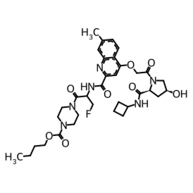 CCCCOC(=O)N1CCN(C(=O)C(CF)NC(=O)c2cc(OCC(=O)N3C[C@@H](O)C[C@H]3C(=O)NC3CCC3)c3ccc(C)cc3n2)CC1